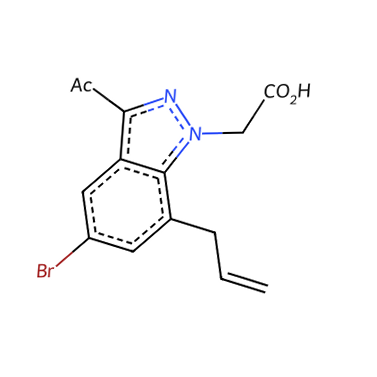 C=CCc1cc(Br)cc2c(C(C)=O)nn(CC(=O)O)c12